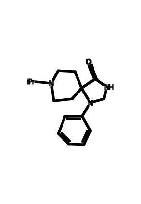 CC(C)N1CCC2(CC1)C(=O)NCN2c1ccccc1